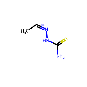 C/C=N\NC(N)=S